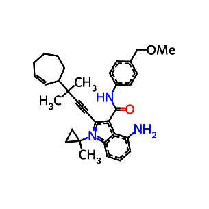 COCc1ccc(NC(=O)c2c(C#CC(C)(C)C3C=CCCCC3)n(C3(C)CC3)c3cccc(N)c23)cc1